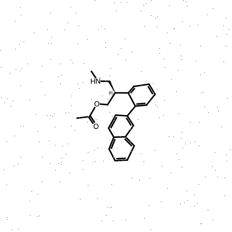 CNC[C@H](COC(C)=O)c1ccccc1-c1ccc2ccccc2c1